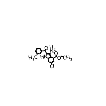 CCOC(=O)c1cc(Cl)cc2[nH]c(C(=O)c3cccc(C)c3)c(N)c12